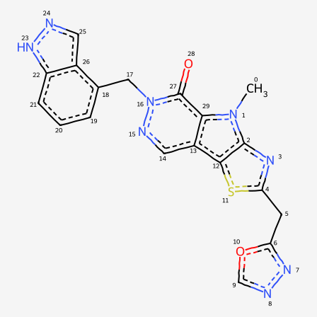 Cn1c2nc(Cc3nnco3)sc2c2cnn(Cc3cccc4[nH]ncc34)c(=O)c21